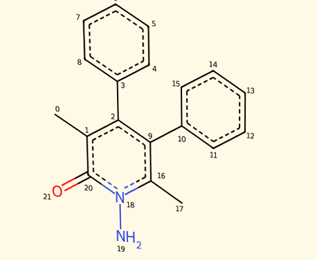 Cc1c(-c2ccccc2)c(-c2ccccc2)c(C)n(N)c1=O